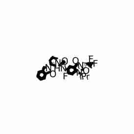 CC(C)n1c(=O)n(C[C@H]2CC2(F)F)c(=O)c2cc(NC(=O)N3CCC[C@@H](N4Cc5ccccc5C4=O)C3)c(F)cc21